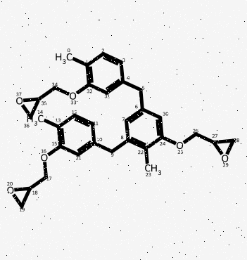 Cc1ccc(Cc2cc(Cc3ccc(C)c(OCC4CO4)c3)c(C)c(OCC3CO3)c2)cc1OCC1CO1